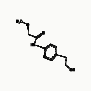 COCC(=O)Nc1ccc(CCO)cc1